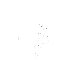 Cl.Cl.N[C@H](Cc1sc2c(NCc3cccs3)cc(Cl)nc2c1Br)CC(F)F